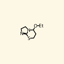 CCOC1CCSC2=NCCN21